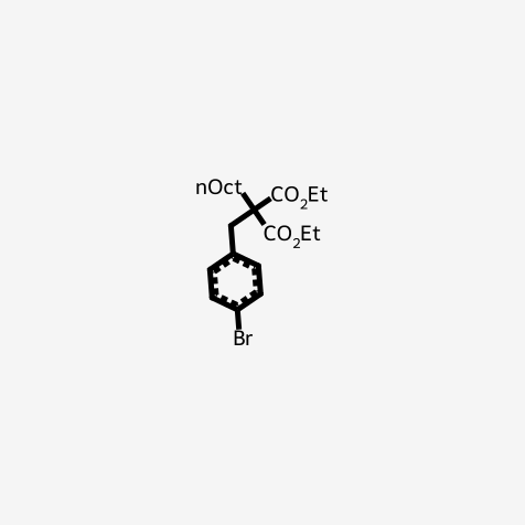 CCCCCCCCC(Cc1ccc(Br)cc1)(C(=O)OCC)C(=O)OCC